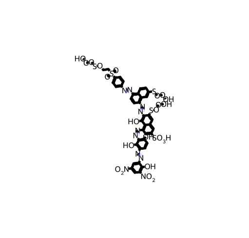 O=[N+]([O-])c1cc(/N=N/c2ccc(O)c(/N=N\c3cc(S(=O)(=O)O)cc4cc(SOOO)c(/N=N/c5ccc(/N=N/c6ccc(S(=O)(=O)CCOSOOO)cc6)c6ccc(SOOO)cc56)c(O)c34)c2O)c(O)c([N+](=O)[O-])c1